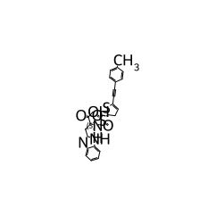 Cc1ccc(C#CC2=CCC(S(=O)(=O)N[C@@H](Cc3nc4ccccc4[nH]3)C(=O)O)S2)cc1